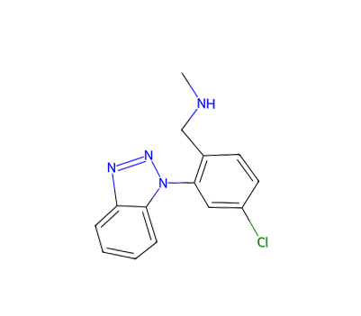 CNCc1ccc(Cl)cc1-n1nnc2ccccc21